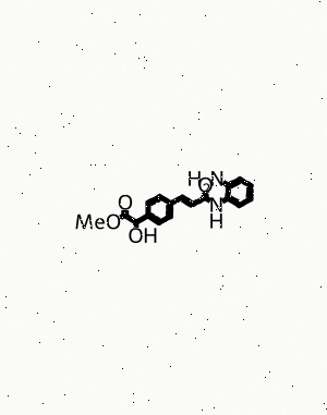 COC(=O)C(O)c1ccc(/C=C/C(=O)Nc2ccccc2N)cc1